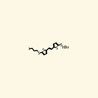 CCCCSc1ccc(C=Cc2ccc(SCCCI)s2)s1